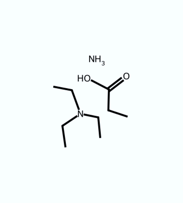 CCC(=O)O.CCN(CC)CC.N